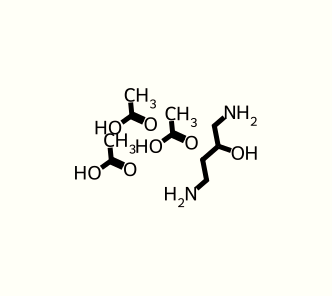 CC(=O)O.CC(=O)O.CC(=O)O.NCCC(O)CN